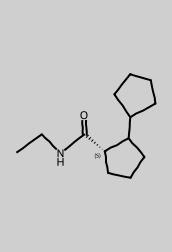 CCNC(=O)[C@H]1CCCC1C1CCCC1